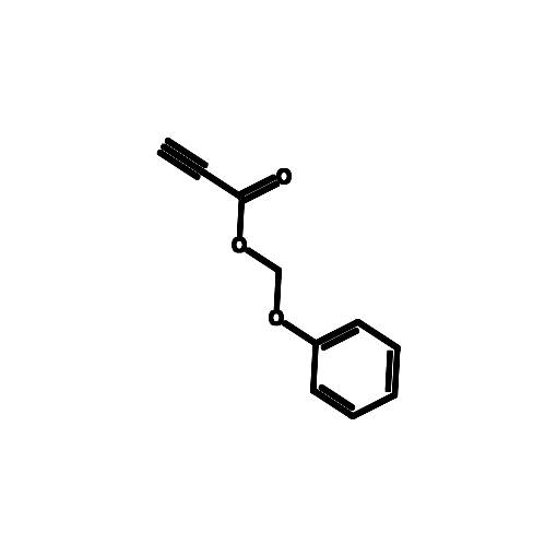 C#CC(=O)OCOc1ccccc1